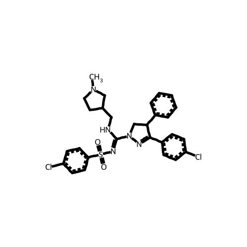 CN1CCC(CN/C(=N\S(=O)(=O)c2ccc(Cl)cc2)N2CC(c3ccccc3)C(c3ccc(Cl)cc3)=N2)C1